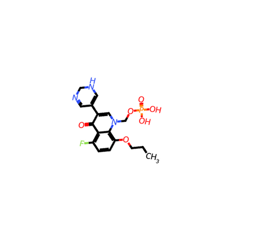 CCCOc1ccc(F)c2c(=O)c(C3=CNCN=C3)cn(COP(=O)(O)O)c12